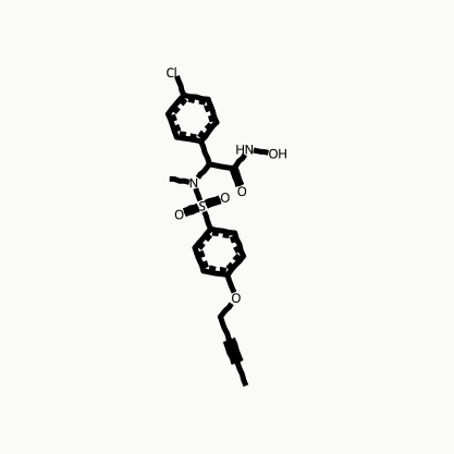 CC#CCOc1ccc(S(=O)(=O)N(C)C(C(=O)NO)c2ccc(Cl)cc2)cc1